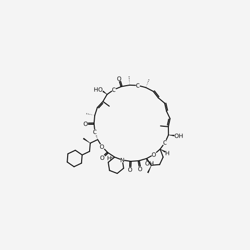 C/C1=C\[C@@H](C)C(=O)C[C@@H]([C@H](C)CC2CCCCC2)OC(=O)[C@@H]2CCCCN2C(=O)C(=O)[C@]2(O)O[C@@H](CC[C@H]2C)C[C@H](O)/C(C)=C/C=C/C=C/[C@@H](C)C[C@@H](C)C(=O)C[C@@H]1O